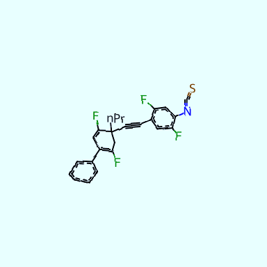 CCCC1(C#Cc2cc(F)c(N=C=S)cc2F)CC(F)=C(c2ccccc2)C=C1F